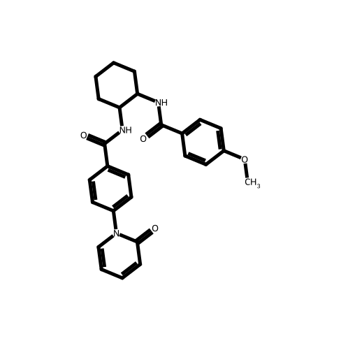 COc1ccc(C(=O)NC2CCCCC2NC(=O)c2ccc(-n3ccccc3=O)cc2)cc1